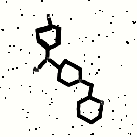 CC(=O)N(c1ccc(F)cc1)C1CCN(CC2CCCCO2)CC1